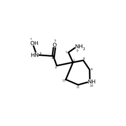 NCC1(CC(=O)NO)CCNCC1